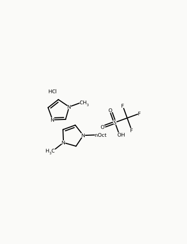 CCCCCCCCN1C=CN(C)C1.Cl.Cn1ccnc1.O=S(=O)(O)C(F)(F)F